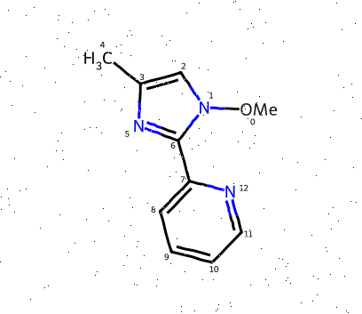 COn1cc(C)nc1-c1ccccn1